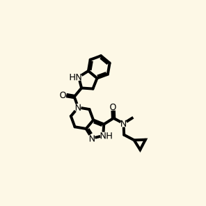 CN(CC1CC1)C(=O)c1[nH]nc2c1CN(C(=O)C1Cc3ccccc3N1)CC2